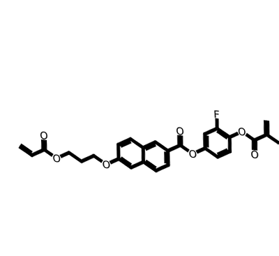 C=CC(=O)OCCCOc1ccc2cc(C(=O)Oc3ccc(OC(=O)C(=C)C)c(F)c3)ccc2c1